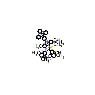 Cc1cc2c3c(c1)N(c1ccc4c(c1)C(C)(C)CCC4(C)C)c1c(sc4cc5c(cc14)C(C)(C)CCC5(C)C)B3c1cc(C(C)(C)C)ccc1N2c1ccc([Si](c2ccccc2)(c2ccccc2)c2ccccc2)cc1